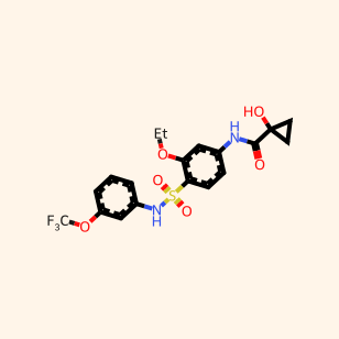 CCOc1cc(NC(=O)C2(O)CC2)ccc1S(=O)(=O)Nc1cccc(OC(F)(F)F)c1